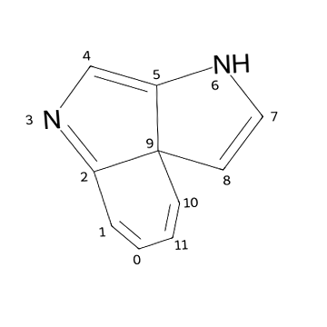 C1=CC2=NC=C3NC=CC32C=C1